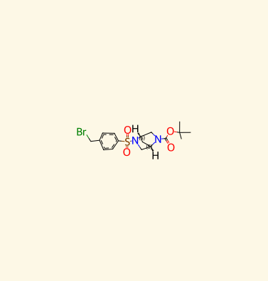 CC(C)(C)OC(=O)N1C[C@@H]2C[C@H]1CN2S(=O)(=O)c1ccc(CBr)cc1